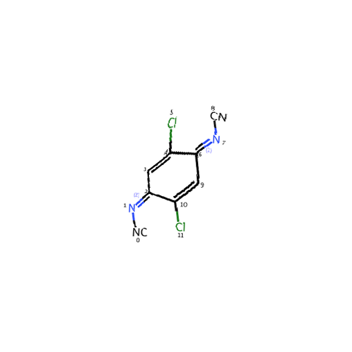 [C-]#[N+]/N=C1C=C(Cl)/C(=N\C#N)C=C/1Cl